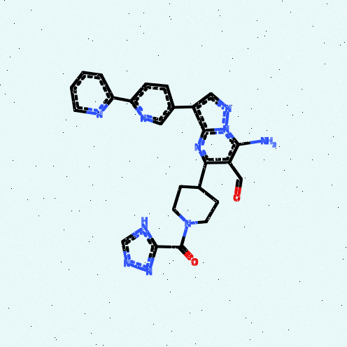 Nc1c(C=O)c(C2CCN(C(=O)c3nnc[nH]3)CC2)nc2c(-c3ccc(-c4ccccn4)nc3)cnn12